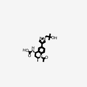 CC(=O)N1c2ccc(-c3cnn(CC(C)(C)O)c3)cc2[C@H](NC(=O)O)C[C@@H]1C